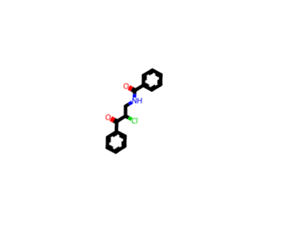 O=C(NCC(Cl)C(=O)c1ccccc1)c1ccccc1